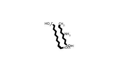 C=CCCCCCCCCCCCCCCCC.CCCCCCCC/C=C\CCCCCCCC(=O)O.N